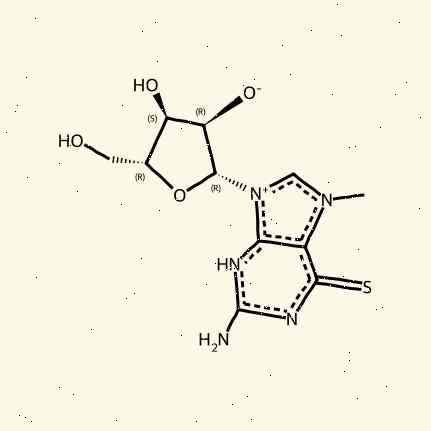 Cn1c[n+]([C@@H]2O[C@H](CO)[C@@H](O)[C@H]2[O-])c2[nH]c(N)nc(=S)c21